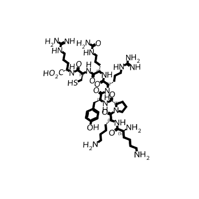 N=C(N)NCCC[C@H](NC(=O)[C@H](CS)NC(=O)[C@H](CCCNC(N)=O)NC(=O)[C@H](CCCNC(=N)N)NC(=O)[C@H](Cc1ccc(O)cc1)NC(=O)[C@@H]1CCCN1C(=O)[C@@H](CCCCN)NC(=O)[C@@H](N)CCCCN)C(=O)O